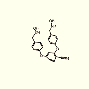 N#Cc1ccc(Oc2ccc(CNO)cc2)cc1Oc1ccc(CNO)cc1